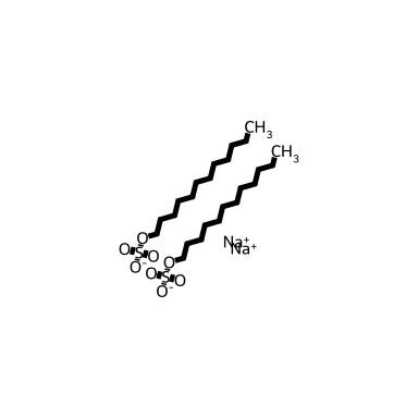 CCCCCCCCCCCCOS(=O)(=O)[O-].CCCCCCCCCCCCOS(=O)(=O)[O-].[Na+].[Na+]